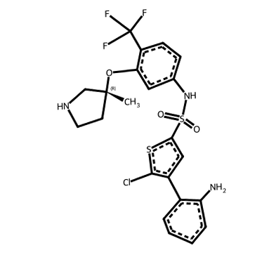 C[C@@]1(Oc2cc(NS(=O)(=O)c3cc(-c4ccccc4N)c(Cl)s3)ccc2C(F)(F)F)CCNC1